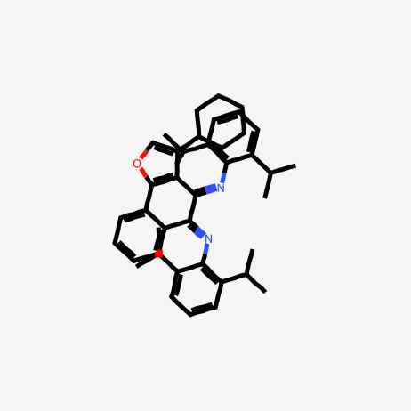 CC(C)c1cccc(C(C)C)c1/N=C1/C(=N/c2c(C(C)C)cccc2C(C)C)c2c(C3CCCCC3)coc2-c2ccccc21